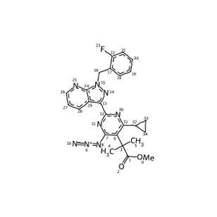 COC(=O)C(C)(C)c1c(N=[N+]=[N-])nc(-c2nn(Cc3ccccc3F)c3ncccc23)nc1C1CC1